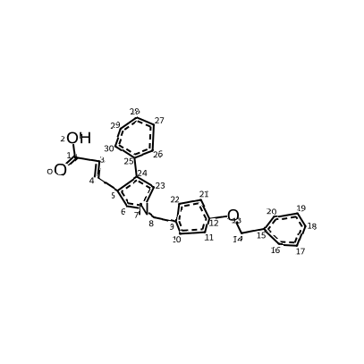 O=C(O)/C=C/c1cn(Cc2ccc(OCc3ccccc3)cc2)cc1-c1ccccc1